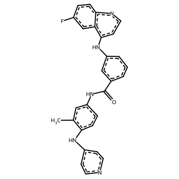 Cc1cc(NC(=O)c2cccc(Nc3ccnc4ccc(F)cc34)c2)ccc1Nc1ccncc1